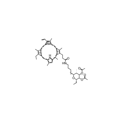 C=Cc1c(C)c2cc3nc(c(C)c4cc(C)c(cc5nc(cc1[nH]2)C(C)=C5CC)[nH]4)C(CCC(=O)NCCCS[C@@H]1O[C@H](CC)C(OC(C)=O)[C@H](OC(C)=O)[C@H]1C)=C3C